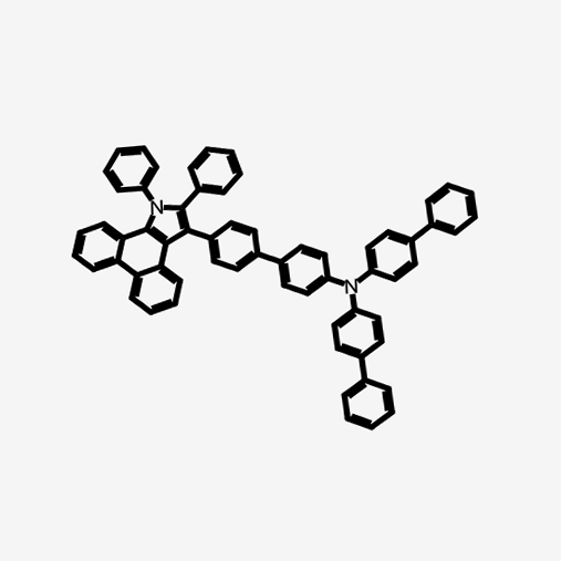 c1ccc(-c2ccc(N(c3ccc(-c4ccccc4)cc3)c3ccc(-c4ccc(-c5c(-c6ccccc6)n(-c6ccccc6)c6c7ccccc7c7ccccc7c56)cc4)cc3)cc2)cc1